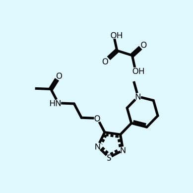 CC(=O)NCCOc1nsnc1C1=CCCN(C)C1.O=C(O)C(=O)O